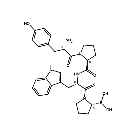 N[C@@H](Cc1ccc(O)cc1)C(=O)N1CCC[C@H]1C(=O)N[C@@H](Cc1c[nH]c2ccccc12)C(=S)N1CCC[C@H]1B(O)O